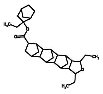 CCC1OC(CC)C2C3CC(C12)C1C2CC(C4C5CC(CC5C(=O)OC5(CC)CC6CCC5C6)C24)C31